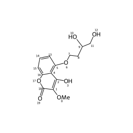 COc1c(O)c2c(OCCC(O)CO)cccc2oc1=O